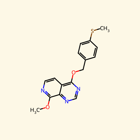 COc1nccc2c(OCc3ccc(SC)cc3)ncnc12